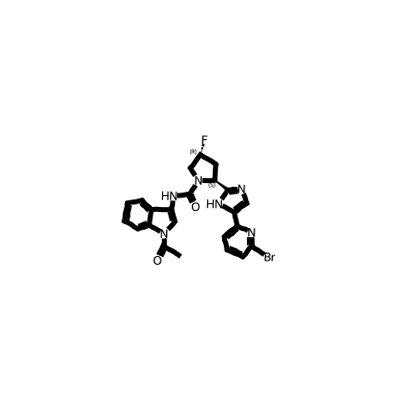 CC(=O)n1cc(NC(=O)N2C[C@H](F)C[C@H]2c2ncc(-c3cccc(Br)n3)[nH]2)c2ccccc21